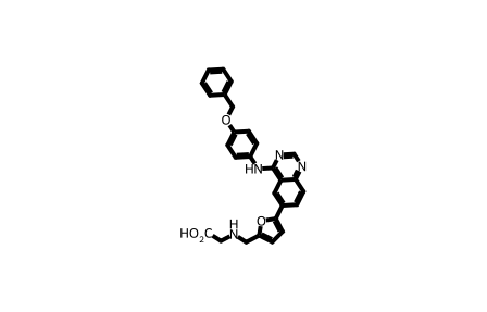 O=C(O)CNCc1ccc(-c2ccc3ncnc(Nc4ccc(OCc5ccccc5)cc4)c3c2)o1